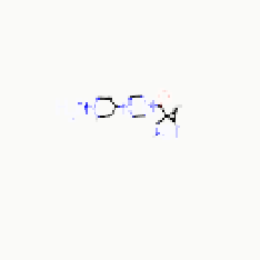 CNCC1(C(=O)N2CCN(C3CCN(N)CC3)CC2)CC1